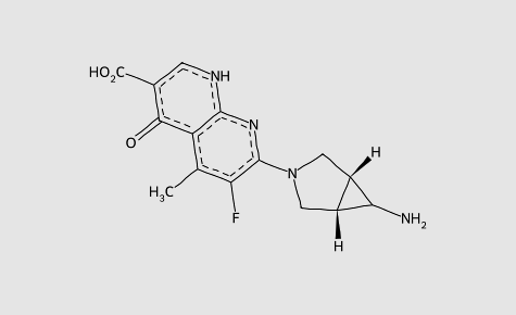 Cc1c(F)c(N2C[C@@H]3C(N)[C@@H]3C2)nc2[nH]cc(C(=O)O)c(=O)c12